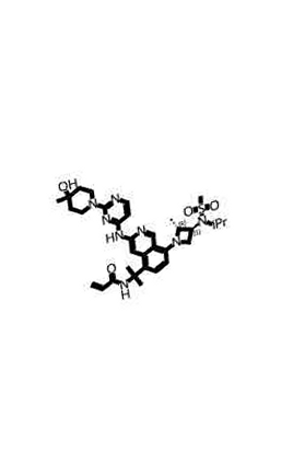 C=CC(=O)NC(C)(C)c1ccc(N2C[C@H](N(C(C)C)S(C)(=O)=O)[C@H]2C)c2cnc(Nc3ccnc(N4CCC(C)(O)CC4)n3)cc12